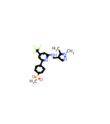 Cc1c(CNc2cc(C(F)(F)F)cc(-c3ccc(S(C)(=O)=O)cc3)n2)cnn1C